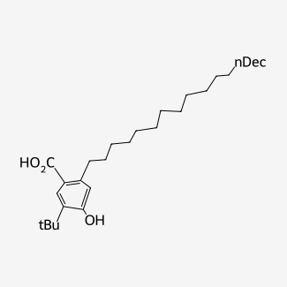 CCCCCCCCCCCCCCCCCCCCCCc1cc(O)c(C(C)(C)C)cc1C(=O)O